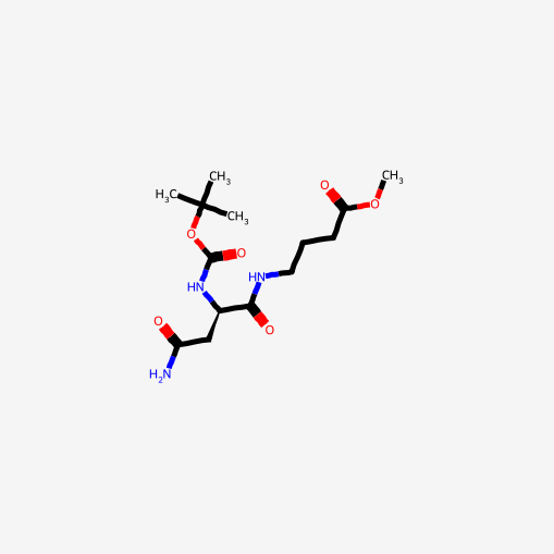 COC(=O)CCCNC(=O)[C@@H](CC(N)=O)NC(=O)OC(C)(C)C